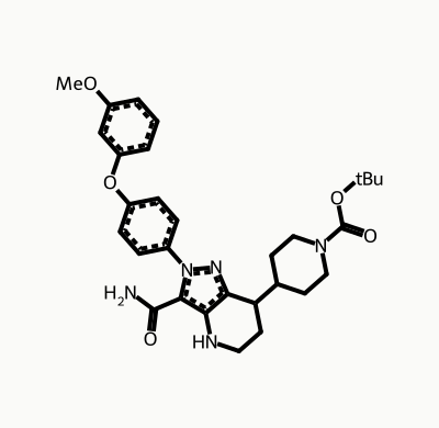 COc1cccc(Oc2ccc(-n3nc4c(c3C(N)=O)NCCC4C3CCN(C(=O)OC(C)(C)C)CC3)cc2)c1